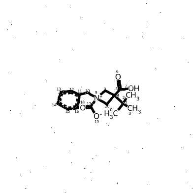 CC(C)(C)C1(C(=O)O)C[N+](Cc2ccccc2)(C(=O)[O-])C1